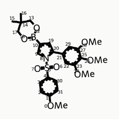 COc1ccc(S(=O)(=O)n2cc(B3OCC(C)(C)CO3)cc2-c2cc(OC)c(OC)c(OC)c2)cc1